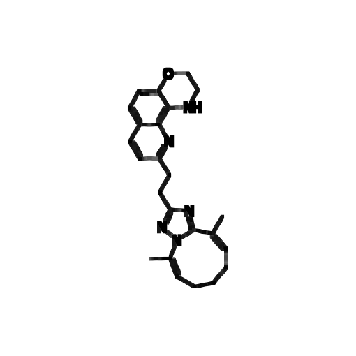 C/C1=C/CCC/C=C(/C)n2nc(CCc3ccc4ccc5c(c4n3)NCCO5)nc21